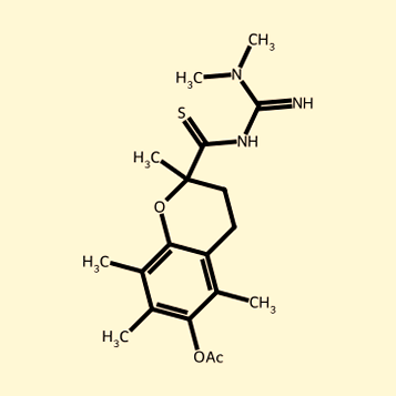 CC(=O)Oc1c(C)c(C)c2c(c1C)CCC(C)(C(=S)NC(=N)N(C)C)O2